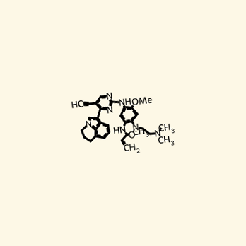 C#Cc1cnc(Nc2cc(NC(=O)C=C)c(N(C)CCN(C)C)cc2OC)nc1-c1cn2c3c(cccc13)CCC2